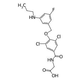 CCCNc1cc(F)cc(COc2c(Cl)cc(C(=O)NCC(=O)O)cc2Cl)c1